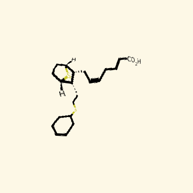 O=C(O)CCC/C=C\C[C@@H]1[C@H](CCSC2CCCCC2)[C@@H]2CC[C@H]1S2